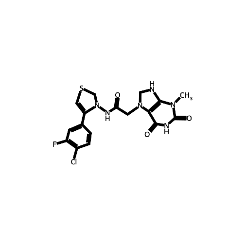 Cn1c2c(c(=O)[nH]c1=O)N(CC(=O)NN1CSC=C1c1ccc(Cl)c(F)c1)CN2